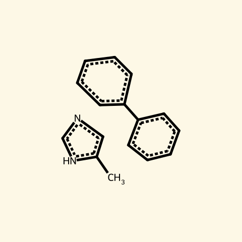 Cc1cnc[nH]1.c1ccc(-c2ccccc2)cc1